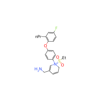 CCCc1cc(F)ccc1Oc1ccc([N+]2(S(=O)(=O)CC)C=C(CN)C=CC2)cc1